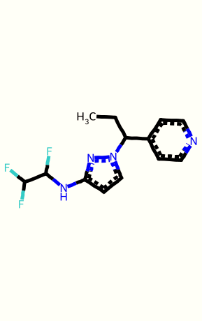 CCC(c1ccncc1)n1ccc(NC(F)C(F)F)n1